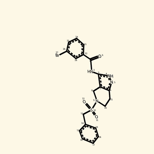 O=C(Nc1[nH]nc2c1CN(S(=O)(=O)Cc1ccccc1)CC2)c1cccc(Br)c1